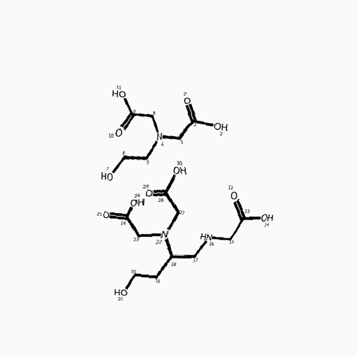 O=C(O)CN(CCO)CC(=O)O.O=C(O)CNCC(CCO)N(CC(=O)O)CC(=O)O